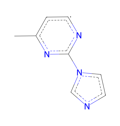 Cc1c[c]nc(-n2ccnc2)n1